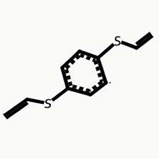 C=CSc1[c]cc(SC=C)cc1